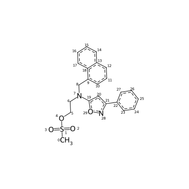 CS(=O)(=O)OCCN(Cc1cccc2ccccc12)c1cc(-c2ccccc2)no1